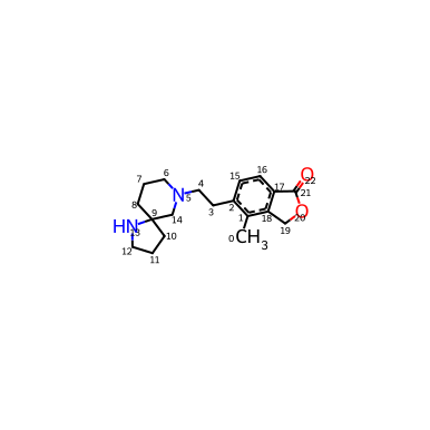 Cc1c(CCN2CCCC3(CCCN3)C2)ccc2c1COC2=O